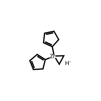 C1=CC[C]([Zr]2([C]3=CC=CC3)[CH2][CH2]2)=C1.[H-]